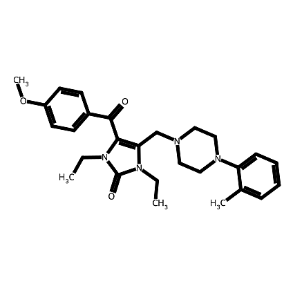 CCn1c(CN2CCN(c3ccccc3C)CC2)c(C(=O)c2ccc(OC)cc2)n(CC)c1=O